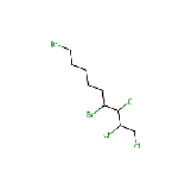 ClCC(Cl)C(Cl)C(Br)CCCCCBr